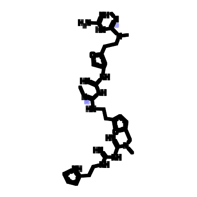 C/N=C(/NCCc1ccc(CN(C)C(=N)NC(=N)NCCc2ccc[nH]2)o1)NC(=N)Nc1coc(CCN(C)/C(=N/C)NC(=N)N)c1